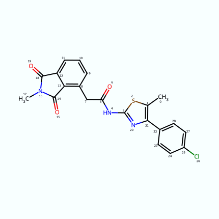 Cc1sc(NC(=O)Cc2cccc3c2C(=O)N(C)C3=O)nc1-c1ccc(Cl)cc1